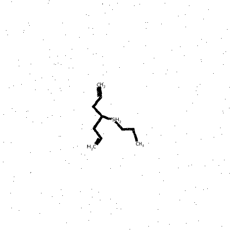 C=CCC(CC=C)[SiH2][CH]CC